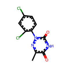 Cc1nn(-c2ccc(Cl)cc2Cl)c(=O)[nH]c1=O